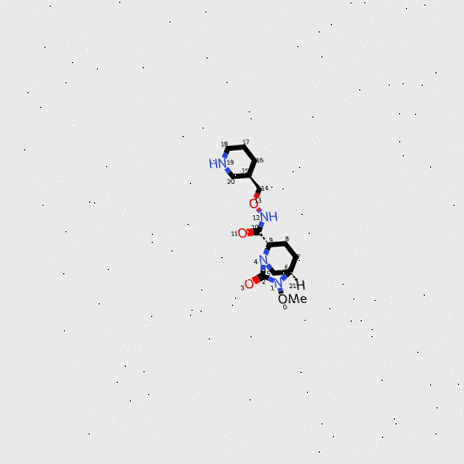 CON1C(=O)N2C[C@H]1CC[C@H]2C(=O)NOC[C@@H]1CCCNC1